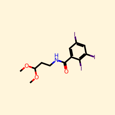 COC(CCNC(=O)c1cc(I)cc(I)c1I)OC